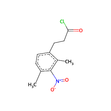 Cc1ccc(CCC(=O)Cl)c(C)c1[N+](=O)[O-]